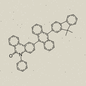 CC1(C)c2ccccc2-c2ccc(-c3c4ccccc4c(-c4ccc5c(c4)c4ccccc4c(=O)n5-c4ccccc4)c4ccccc34)cc21